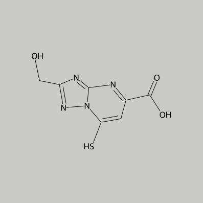 O=C(O)c1cc(S)n2nc(CO)nc2n1